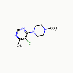 Cc1ncnc(N2CCN(C(=O)O)CC2)c1Cl